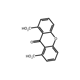 O=C(O)c1cccc2oc3cccc(C(=O)O)c3c(=O)c12